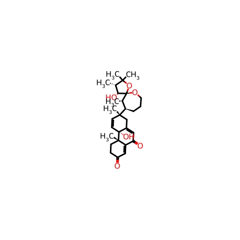 C[C@H]1[C@@H](O)[C@]2(OCCC[C@@H]([C@@]3(C)C=C[C@@]4(O)C(=CC(=O)C5=CC(=O)CC[C@@]54C)C3)[C@@H]2C)OC1(C)C